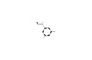 C=C[C](C)c1cc(C)cc(OCC(C)C)c1